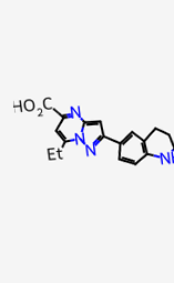 CCc1cc(C(=O)O)nc2cc(-c3ccc4c(c3)CCC(=O)N4)nn12